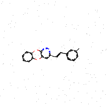 Cc1cccc(/C=C/c2cc3c(nn2)Oc2ccccc2O3)c1